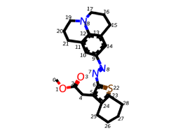 COC(=O)Cc1c(N=Nc2cc3c4c(c2)CCCN4CCC3)sc2c1CCCC2